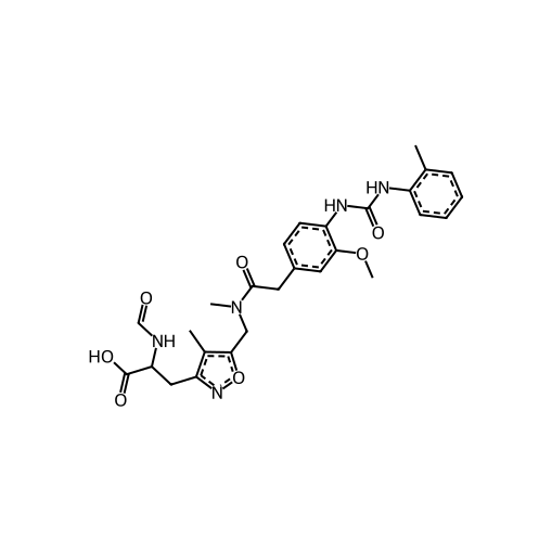 COc1cc(CC(=O)N(C)Cc2onc(CC(NC=O)C(=O)O)c2C)ccc1NC(=O)Nc1ccccc1C